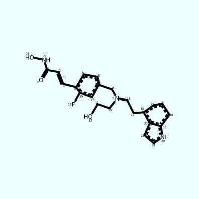 O=C(/C=C/c1ccc(CN(CCO)CCc2cccc3[nH]ccc23)cc1F)NO